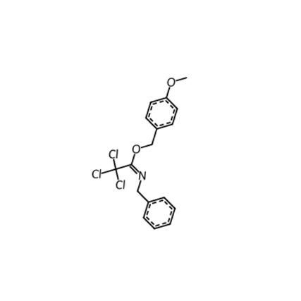 COc1ccc(COC(=NCc2ccccc2)C(Cl)(Cl)Cl)cc1